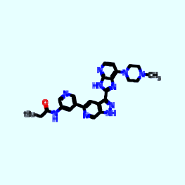 CN1CCN(c2ccnc3[nH]c(-c4n[nH]c5cnc(-c6cncc(NC(=O)CC(C)(C)C)c6)cc45)nc23)CC1